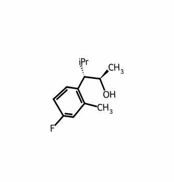 Cc1cc(F)ccc1[C@H](C(C)C)[C@@H](C)O